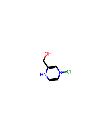 OCC1=CN(Cl)C=CN1